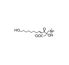 C[N+](C)(C)CC(O)(CC(=O)[O-])C(=O)C=CCCCCCCCO